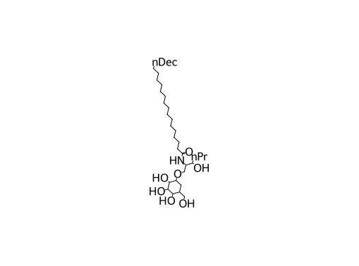 CCCCCCCCCCCCCCCCCCCCCCCCCC(=O)NC(COC1CC(CO)C(O)C(O)C1O)C(O)CCC